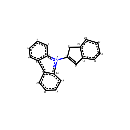 [CH]1C(n2c3ccccc3c3ccccc32)=Cc2ccccc21